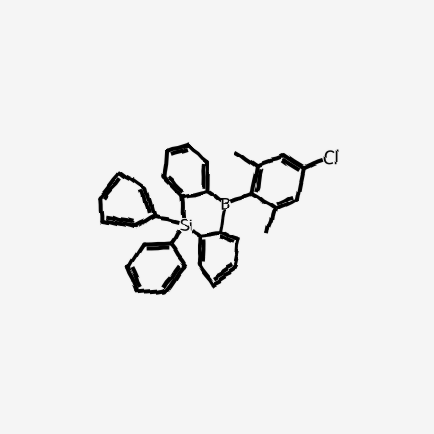 Cc1cc(Cl)cc(C)c1B1c2ccccc2[Si](c2ccccc2)(c2ccccc2)c2ccccc21